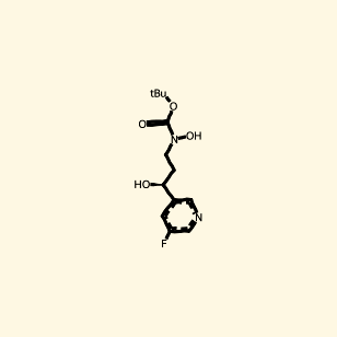 CC(C)(C)OC(=O)N(O)CC[C@H](O)c1cncc(F)c1